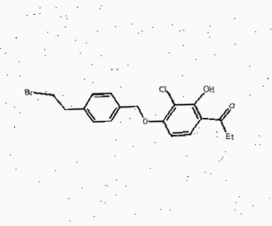 CCC(=O)c1ccc(OCc2ccc(CCBr)cc2)c(Cl)c1O